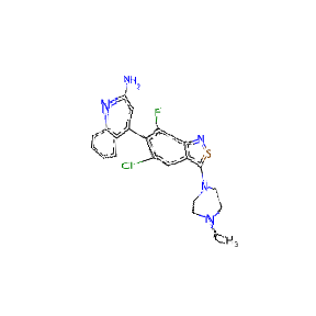 CN1CCN(c2snc3c(F)c(-c4cc(N)nc5ccccc45)c(Cl)cc23)CC1